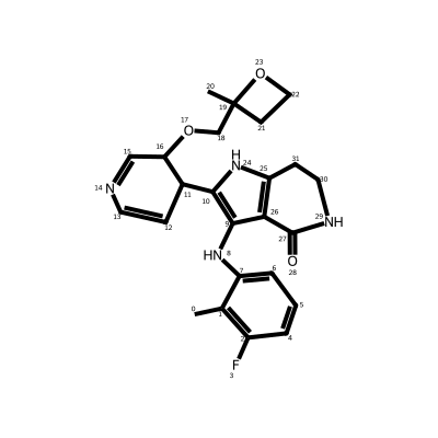 Cc1c(F)cccc1Nc1c(C2C=CN=CC2OCC2(C)CCO2)[nH]c2c1C(=O)NCC2